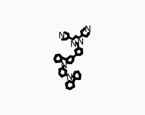 c1cc(-c2ccc3c(c2)c2ccccc2n3-c2cccc(-n3c4ccccc4c4ccccc43)c2)cc(-c2nc(-c3ccncc3)cc(-c3ccncc3)n2)c1